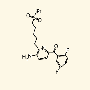 CC(C)S(=O)(=O)CCCCCc1nc(C(=O)c2cc(F)ccc2F)ccc1N